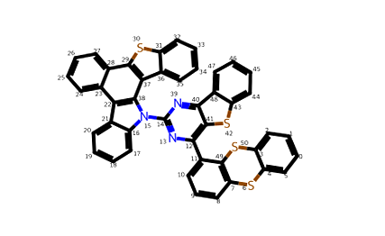 c1ccc2c(c1)Sc1cccc(-c3nc(-n4c5ccccc5c5c6ccccc6c6sc7ccccc7c6c54)nc4c3sc3ccccc34)c1S2